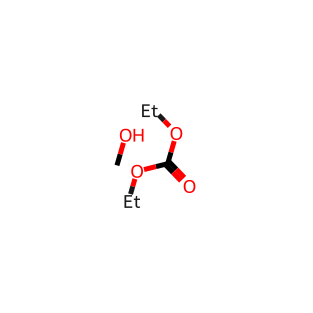 CCOC(=O)OCC.CO